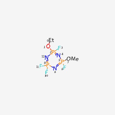 CCOP1(F)=NP(F)(OC)=NP(F)(F)=N1